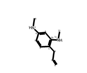 C=CCc1ccc(NC)cc1NC